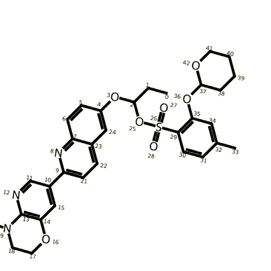 CCC(Oc1ccc2nc(-c3cnc4c(c3)OCCN4C)ccc2c1)OS(=O)(=O)c1ccc(C)cc1OC1CCCCO1